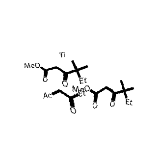 CCC(=O)CC(C)=O.CCC(C)(C)C(=O)CC(=O)OC.CCC(C)(C)C(=O)CC(=O)OC.[Ti]